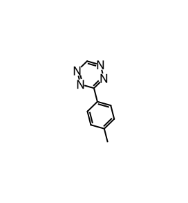 Cc1ccc(-c2nncnn2)cc1